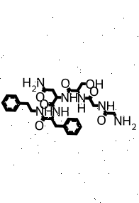 NCC(=O)NCC(=O)NC(CO)C(=O)NC(CC(N)=O)C(=O)NC(Cc1ccccc1)C(=O)NCCc1ccccc1